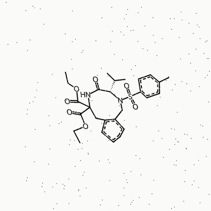 CCOC(=O)C1(C(=O)OCC)Cc2ccccc2CN(S(=O)(=O)c2ccc(C)cc2)[C@@H](C(C)C)C(=O)N1